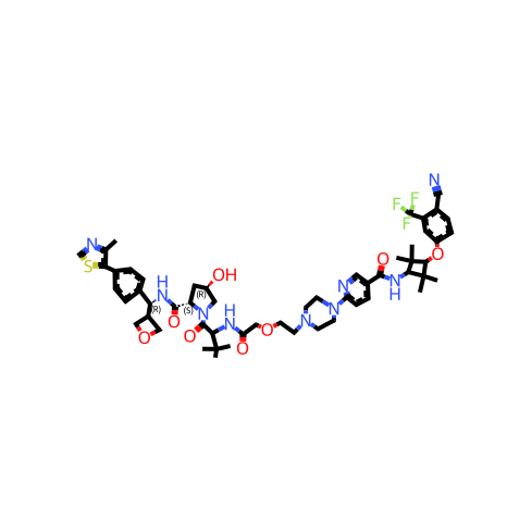 Cc1ncsc1-c1ccc([C@H](NC(=O)[C@@H]2C[C@@H](O)CN2C(=O)C(NC(=O)COCCN2CCN(c3ccc(C(=O)NC4C(C)(C)C(Oc5ccc(C#N)c(C(F)(F)F)c5)C4(C)C)cn3)CC2)C(C)(C)C)C2COC2)cc1